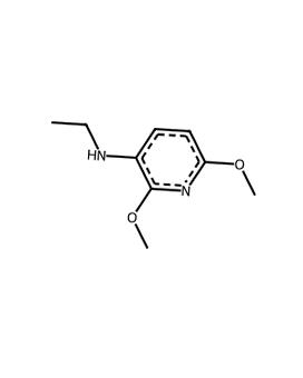 CCNc1ccc(OC)nc1OC